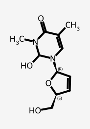 CC1=CN([C@H]2C=C[C@@H](CO)O2)C(O)N(C)C1=O